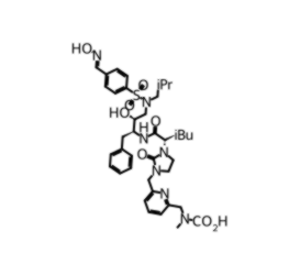 CC[C@H](C)[C@@H](C(=O)N[C@@H](Cc1ccccc1)[C@@H](O)CN(CC(C)C)S(=O)(=O)c1ccc(C=NO)cc1)N1CCN(Cc2cccc(CN(C)C(=O)O)n2)C1=O